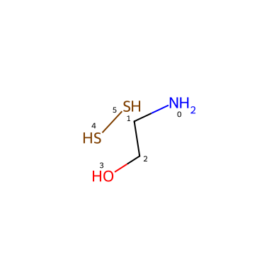 NCCO.SS